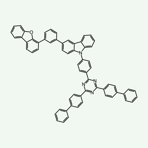 c1ccc(-c2ccc(-c3nc(-c4ccc(-c5ccccc5)cc4)nc(-c4ccc(-n5c6ccccc6c6cc(-c7cccc(-c8cccc9c8oc8ccccc89)c7)ccc65)cc4)n3)cc2)cc1